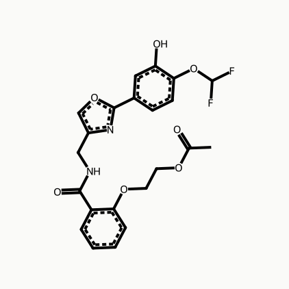 CC(=O)OCCOc1ccccc1C(=O)NCc1coc(-c2ccc(OC(F)F)c(O)c2)n1